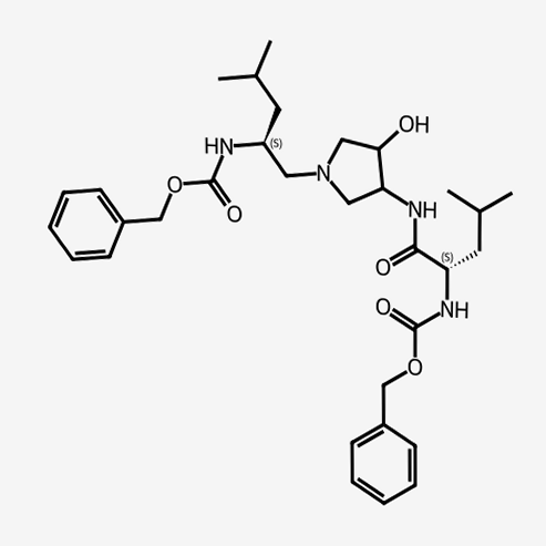 CC(C)C[C@@H](CN1CC(O)C(NC(=O)[C@H](CC(C)C)NC(=O)OCc2ccccc2)C1)NC(=O)OCc1ccccc1